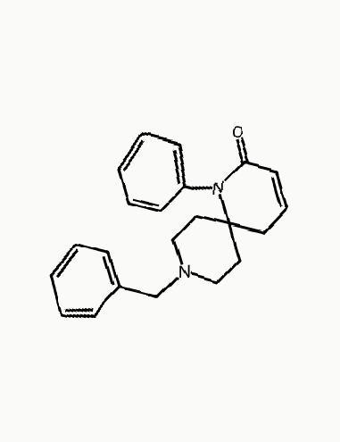 O=C1C=CCC2(CCN(Cc3ccccc3)CC2)N1c1ccccc1